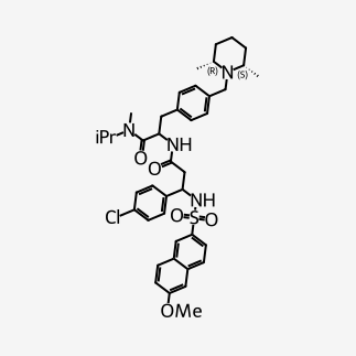 COc1ccc2cc(S(=O)(=O)NC(CC(=O)NC(Cc3ccc(CN4[C@H](C)CCC[C@@H]4C)cc3)C(=O)N(C)C(C)C)c3ccc(Cl)cc3)ccc2c1